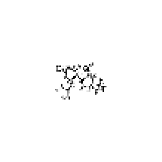 CCC(CC)Oc1c[n+]([O-])[c]c(C)c1-c1ccc(C(F)(F)F)cc1OC